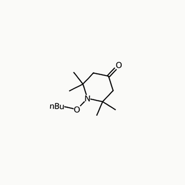 CCCCON1C(C)(C)CC(=O)CC1(C)C